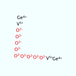 [Ge+4].[Ge+4].[O-2].[O-2].[O-2].[O-2].[O-2].[O-2].[O-2].[O-2].[O-2].[V+5].[V+5]